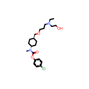 CCN(CCO)CCCOC[C@H]1CC[C@H](N(C)C(=O)Oc2ccc(Cl)cc2)CC1